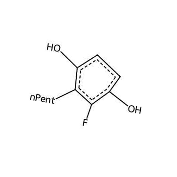 CCCCCc1c(O)ccc(O)c1F